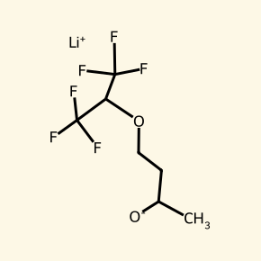 CC([O-])CCOC(C(F)(F)F)C(F)(F)F.[Li+]